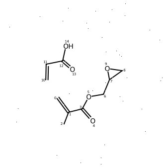 C=C(C)C(=O)OCC1CO1.C=CC(=O)O